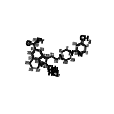 Cc1ccnc(N2CCN(CCc3c(C)n4c5c(cc(C(=O)C(C)C)cc35)CCC4)CC2)c1.Cl.Cl